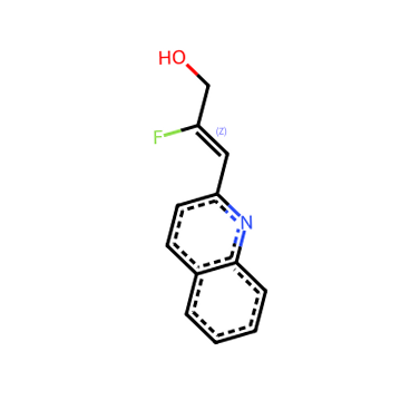 OC/C(F)=C/c1ccc2ccccc2n1